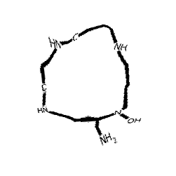 NC1CNCCNCCNCCN1O